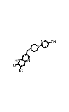 CCc1cc2ncc(CN3CCN(c4ccc(C#N)cn4)CC3)cc2[nH]c1=O